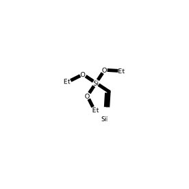 C=C[Si](OCC)(OCC)OCC.[Si]